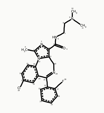 Cc1nc(C(=O)NCCN(C)C)c2n1-c1ccc(Cl)cc1C(c1ccccc1F)=NC2